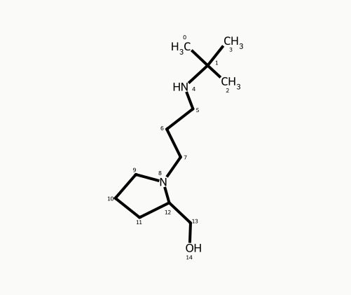 CC(C)(C)NCCCN1CCCC1CO